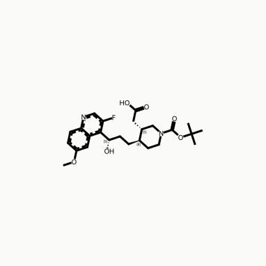 COc1ccc2ncc(F)c([C@@H](O)CC[C@@H]3CCN(C(=O)OC(C)(C)C)C[C@H]3CC(=O)O)c2c1